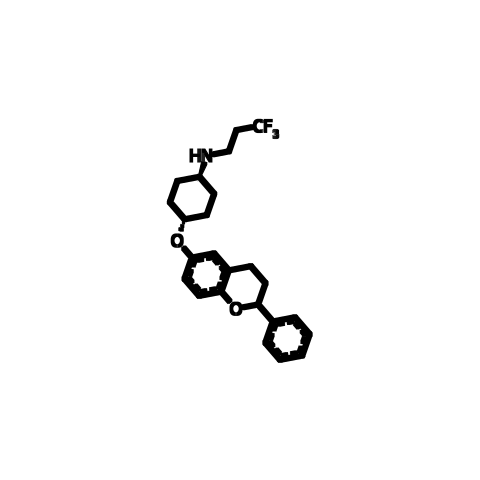 FC(F)(F)CCN[C@H]1CC[C@H](Oc2ccc3c(c2)CCC(c2ccccc2)O3)CC1